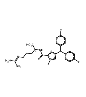 Cc1cc(C(c2ccc(Cl)cc2)c2ccc(Cl)cc2)sc1C(=O)N[C@@H](CCCN=C(N)N)C(=O)O